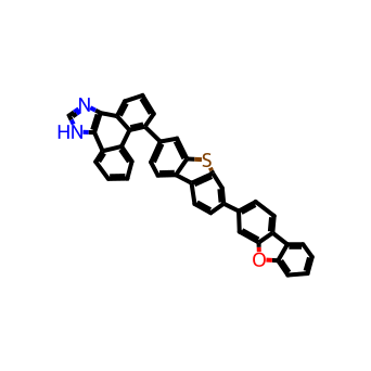 c1ccc2c(c1)oc1cc(-c3ccc4c(c3)sc3cc(-c5cccc6c7nc[nH]c7c7ccccc7c56)ccc34)ccc12